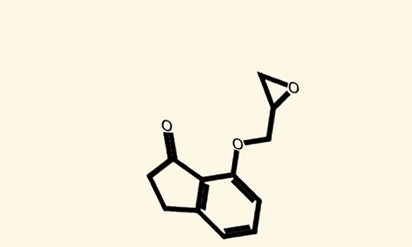 O=C1CCc2cccc(OCC3CO3)c21